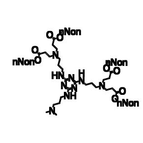 CCCCCCCCCOC(=O)CCN(CCCNc1nc(NCCCN(C)C)nc(NCCCN(CCC(=O)OCCCCCCCCC)CCC(=O)OCCCCCCCCC)n1)CCC(=O)OCCCCCCCCC